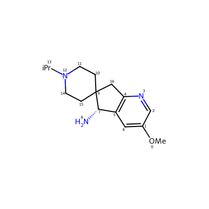 COc1cnc2c(c1)[C@H](N)C1(CCN(C(C)C)CC1)C2